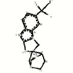 FC(F)(F)c1ccc2nc3n(c2c1)C[C@@]1(CN2CCC1CC2)O3